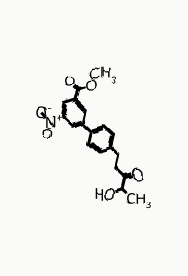 COC(=O)c1cc(-c2ccc(CCC(=O)C(C)O)cc2)cc([N+](=O)[O-])c1